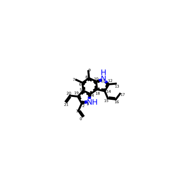 C=Cc1[nH]c2c(c(C)c(C)c3[nH]c(C)c(/C=C\C)c32)c1C=C